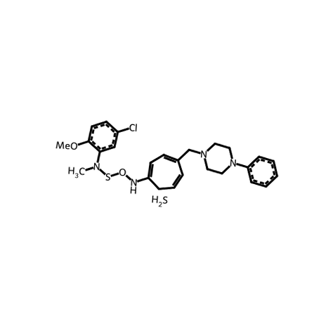 COc1ccc(Cl)cc1N(C)SONC1=CC=C(CN2CCN(c3ccccc3)CC2)C=CC1.S